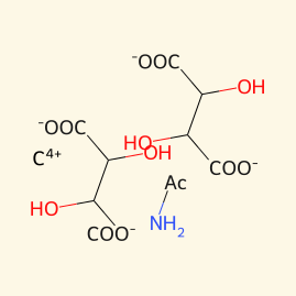 CC(N)=O.O=C([O-])C(O)C(O)C(=O)[O-].O=C([O-])C(O)C(O)C(=O)[O-].[C+4]